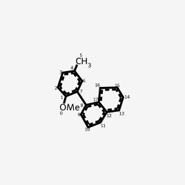 COc1ccc(C)cc1-c1cccc2ccccc12